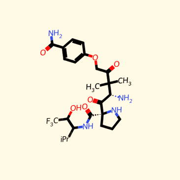 CC(C)C(NC(=O)[C@@]1(C(=O)[C@@H](N)C(C)(C)C(=O)COc2ccc(C(N)=O)cc2)CCCN1)C(O)C(F)(F)F